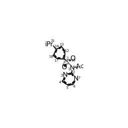 CC(=O)N(c1ncccn1)S(=O)(=O)c1ccc(C(C)C)cc1